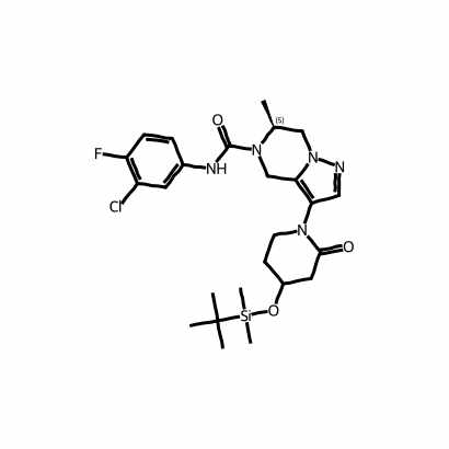 C[C@H]1Cn2ncc(N3CCC(O[Si](C)(C)C(C)(C)C)CC3=O)c2CN1C(=O)Nc1ccc(F)c(Cl)c1